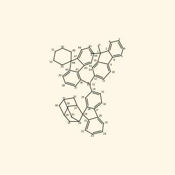 CC1(C)c2ccccc2-c2ccc(N(c3ccc4c(c3)C3(c5ccccc5-4)C4CC5CC(C4)CC3C5)c3cccc4c3-c3ccccc3C43CCCCC3)cc21